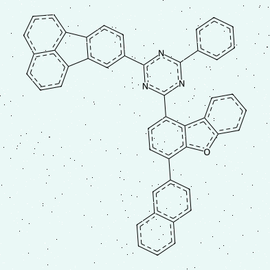 c1ccc(-c2nc(-c3ccc4c(c3)-c3cccc5cccc-4c35)nc(-c3ccc(-c4ccc5ccccc5c4)c4oc5ccccc5c34)n2)cc1